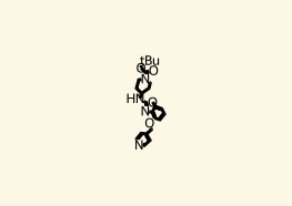 CC(C)(C)OC(=O)N1CCC(Nc2nc3c(OCc4ccncc4)cccc3o2)CC1